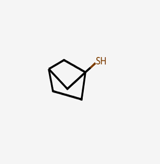 SC12CCC(C1)C2